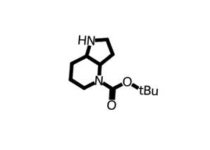 CC(C)(C)OC(=O)N1CCCC2NCCC21